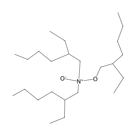 CCCCC(CC)CO[N+]([O-])(CC(CC)CCCC)CC(CC)CCCC